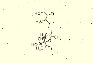 CCC(CO)N(C)CCC[Si](C)(C)OC(C)(CC)[Si](C)(C)O